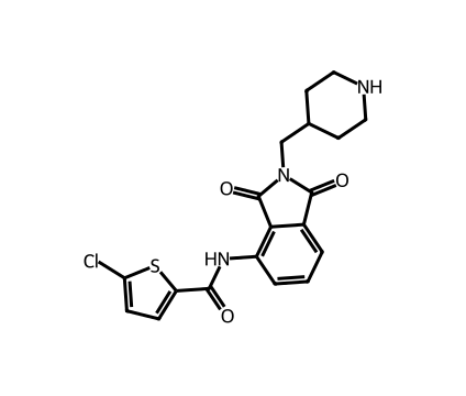 O=C(Nc1cccc2c1C(=O)N(CC1CCNCC1)C2=O)c1ccc(Cl)s1